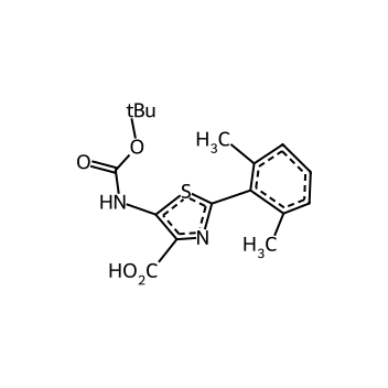 Cc1cccc(C)c1-c1nc(C(=O)O)c(NC(=O)OC(C)(C)C)s1